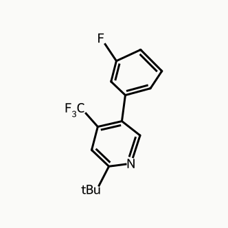 CC(C)(C)c1cc(C(F)(F)F)c(-c2cccc(F)c2)cn1